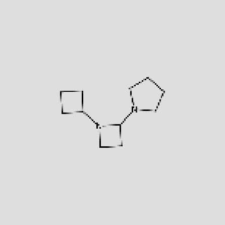 C1CC(N2CCC2N2CCCC2)C1